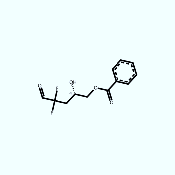 O=CC(F)(F)C[C@H](O)COC(=O)c1ccccc1